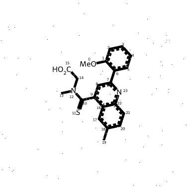 COc1ccccc1-c1cc(C(=S)N(C)CC(=O)O)c2cc(C)ccc2n1